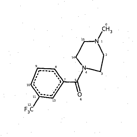 CN1CCN(C(=O)c2cccc(C(F)(F)F)c2)CC1